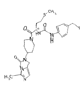 CSCC[C@@H](NC(=O)Nc1ccc(CI)cc1)C(=O)N1CCC(N2Cc3cnc(C)n3C2=O)CC1